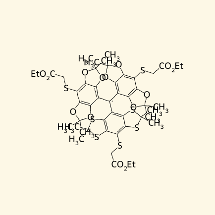 CCOC(=O)CSc1c2c(c([C](c3c4c(c(SCC(=O)OCC)c5c3OC(C)(C)O5)OC(C)(C)O4)c3c4c(c(SCC(=O)OCC)c5c3SC(C)(C)S5)SC(C)(C)S4)c3c1OC(C)(C)O3)OC(C)(C)O2